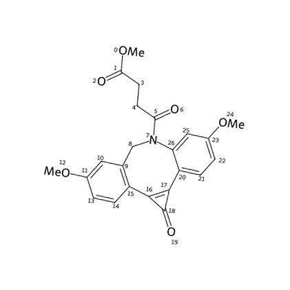 COC(=O)CCC(=O)N1Cc2cc(OC)ccc2-c2c(c2=O)-c2ccc(OC)cc21